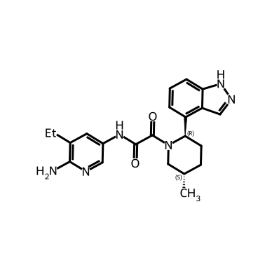 CCc1cc(NC(=O)C(=O)N2C[C@@H](C)CC[C@@H]2c2cccc3[nH]ncc23)cnc1N